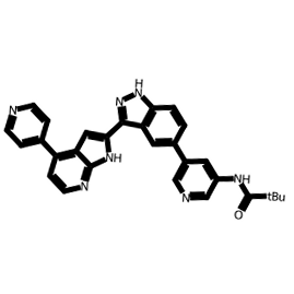 CC(C)(C)C(=O)Nc1cncc(-c2ccc3[nH]nc(-c4cc5c(-c6ccncc6)ccnc5[nH]4)c3c2)c1